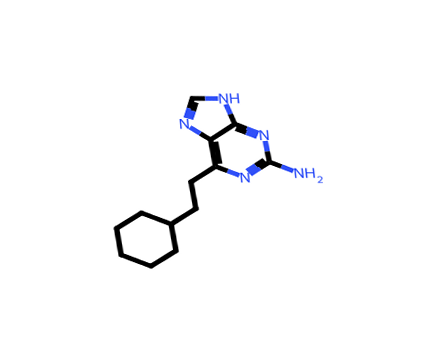 Nc1nc(CCC2CCCCC2)c2nc[nH]c2n1